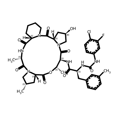 Cc1cccc(C[C@H](NC(=O)Nc2ccc(Cl)c(F)c2)C(=O)N[C@@H]2C(=O)N3C[C@H](O)C[C@H]3C(=O)N3CCCC[C@H]3C(=O)N[C@@H](C)C(=O)N3C[C@@H](C)C[C@H]3C(=O)O[C@H]2C)c1